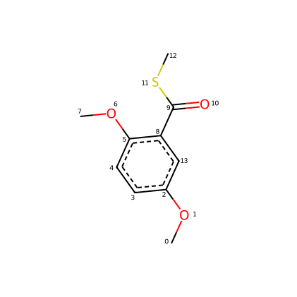 COc1ccc(OC)c(C(=O)SC)c1